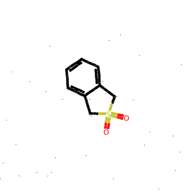 O=S1(=O)[CH]c2ccccc2C1